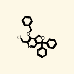 ClCc1ncc2c(c1OCc1ccccc1)COC2(c1ccccc1)c1ccccc1